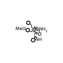 COc1ccc(Cn2c(CCc3ccccc3)nnc2[C@@H](Cc2c[nH]c3ccccc23)N2CCCC2C(N)=O)cc1